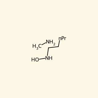 CCCCCNO.CN